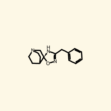 c1ccc(CC2=NO[C@]3(CN4CCC3CC4)N2)cc1